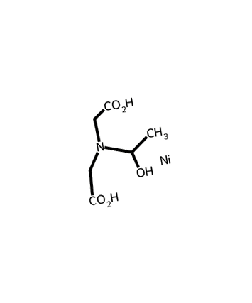 CC(O)N(CC(=O)O)CC(=O)O.[Ni]